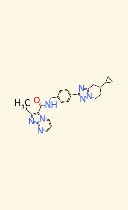 CCc1nc2ncccn2c1C(=O)NCc1ccc(-c2nc3n(n2)CCC(C2CC2)C3)cc1